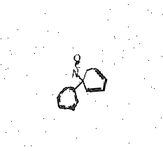 O=C=NC1(c2ccccc2)C=CC=CC1